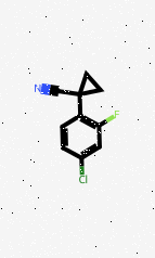 N#CC1(c2ccc(Cl)cc2F)CC1